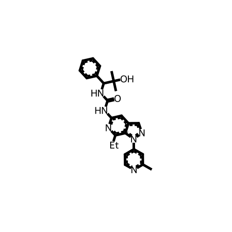 CCc1nc(NC(=O)NC(c2ccccc2)C(C)(C)O)cc2cnn(-c3ccnc(C)c3)c12